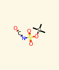 C[Si](C)(C)OS(=O)(=O)N=C=O